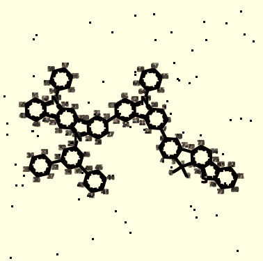 CC1(C)c2ccc(-c3ccc4c(c3)c3cc(-c5ccc6c(c5)c5cc7c(cc5n6-c5cc(-c6ccccc6)cc(-c6ccccc6)c5)c5ccccc5n7-c5ccccc5)ccc3n4-c3ccccc3)cc2-c2ccc3c(sc4ccccc43)c21